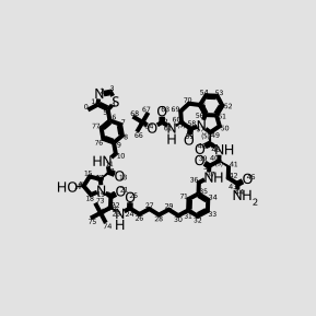 Cc1ncsc1-c1ccc(CNC(=O)[C@@H]2C[C@@H](O)CN2C(=O)[C@@H](NC(=O)CCCCCc2cccc(CNC(=O)[C@H](CCC(N)=O)NC(=O)[C@@H]3Cc4cccc5c4N3C(=O)[C@@H](NC(=O)OC(C)(C)C)CC5)c2)C(C)(C)C)cc1